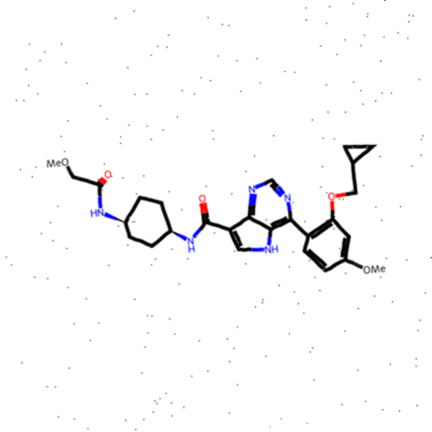 COCC(=O)N[C@H]1CC[C@@H](NC(=O)c2c[nH]c3c(-c4ccc(OC)cc4OCC4CC4)ncnc23)CC1